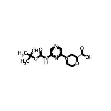 CC(C)(C)OC(=O)Nc1cncc(N2CCO[C@@H](C(=O)O)C2)n1